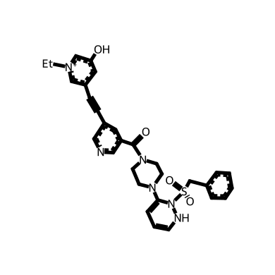 CC[n+]1cc(O)cc(C#Cc2cncc(C(=O)N3CCN(C4=CC=CNN4S(=O)(=O)Cc4ccccc4)CC3)c2)c1